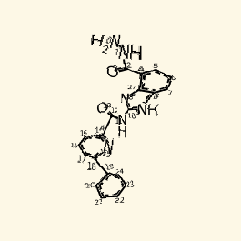 NNC(=O)c1cccc2[nH]c(NC(=O)c3cccc(-c4ccccc4)n3)nc12